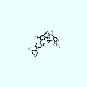 Cn1ncc(Nc2ncc3cc(Cl)c(C4CCN([C@@H]5COCC5O)C[C@@H]4F)cc3n2)c1C1CC1